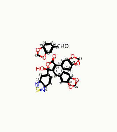 O=C1OC(O)(c2ccc3nsnc3c2)C(Cc2ccc3c(c2)OCO3)=C1c1ccc2c(c1)OCO2.O=Cc1ccc2c(c1)OCO2